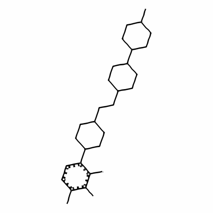 Cc1ccc(C2CCC(CCC3CCC(C4CCC(C)CC4)CC3)CC2)c(F)c1F